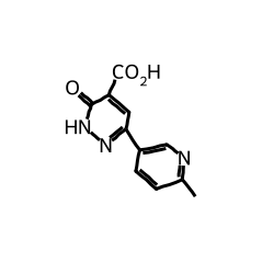 Cc1ccc(-c2cc(C(=O)O)c(=O)[nH]n2)cn1